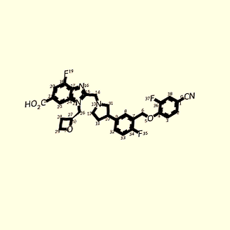 N#Cc1ccc(OCc2cc(C3CCN(Cc4nc5c(F)cc(C(=O)O)cc5n4C[C@@H]4CCO4)C3)ccc2F)c(F)c1